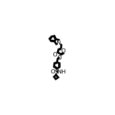 N=S(=O)(c1ccc(COc2coc(CN3Cc4ccccc4C3)cc2=O)cc1)C1CCC1